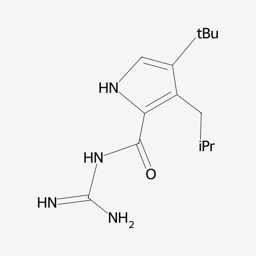 CC(C)Cc1c(C(C)(C)C)c[nH]c1C(=O)NC(=N)N